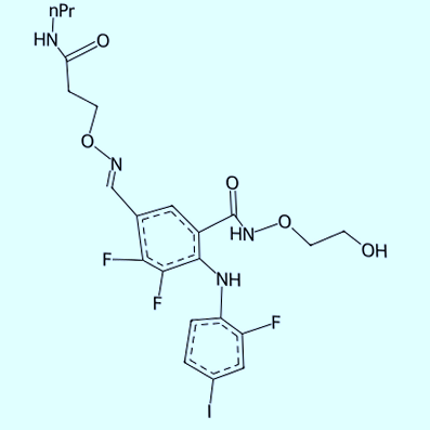 CCCNC(=O)CCON=Cc1cc(C(=O)NOCCO)c(Nc2ccc(I)cc2F)c(F)c1F